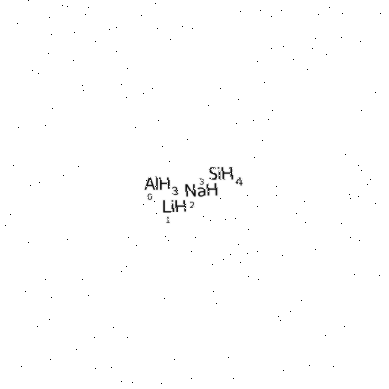 [AlH3].[LiH].[NaH].[SiH4]